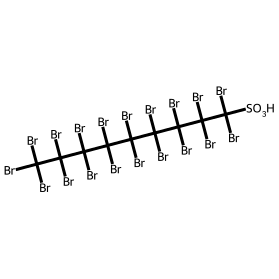 O=S(=O)(O)C(Br)(Br)C(Br)(Br)C(Br)(Br)C(Br)(Br)C(Br)(Br)C(Br)(Br)C(Br)(Br)C(Br)(Br)C(Br)(Br)Br